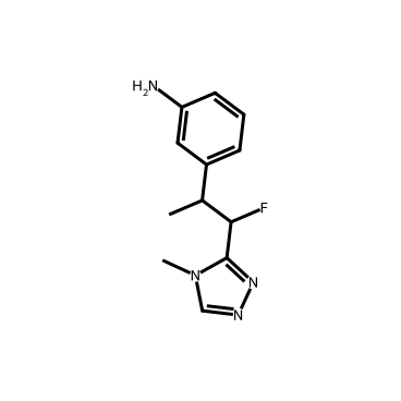 CC(c1cccc(N)c1)C(F)c1nncn1C